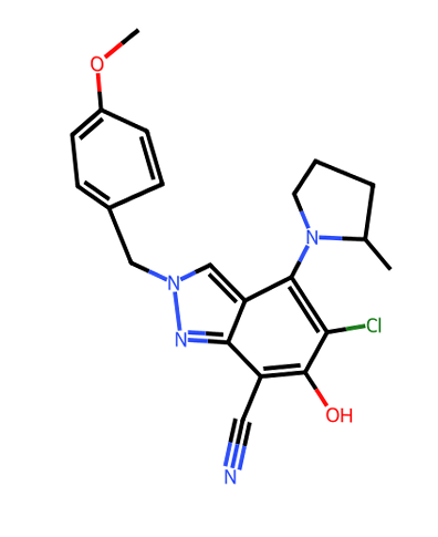 COc1ccc(Cn2cc3c(N4CCCC4C)c(Cl)c(O)c(C#N)c3n2)cc1